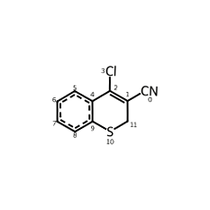 N#CC1=C(Cl)c2ccccc2SC1